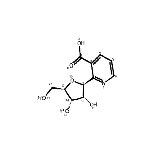 O=C(O)c1cccnc1[C@@H]1O[C@H](CO)[C@@H](O)[C@H]1O